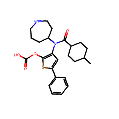 CC1CCC(C(=O)N(c2cc(-c3ccccc3)sc2OC(=O)O)C2CCCNCC2)CC1